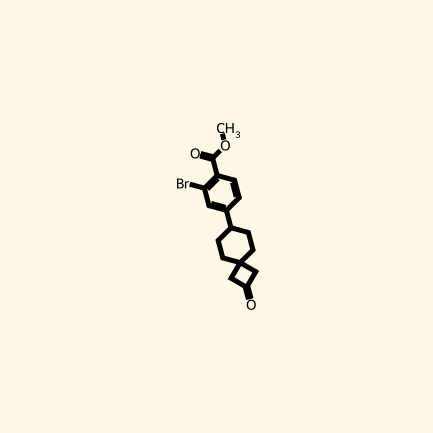 COC(=O)c1ccc(C2CCC3(CC2)CC(=O)C3)cc1Br